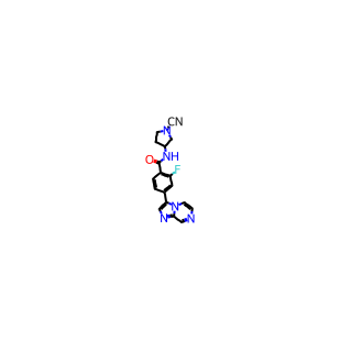 N#CN1CCC(NC(=O)c2ccc(-c3cnc4cnccn34)cc2F)C1